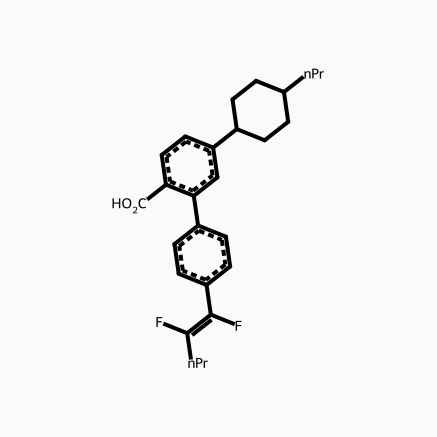 CCCC(F)=C(F)c1ccc(-c2cc(C3CCC(CCC)CC3)ccc2C(=O)O)cc1